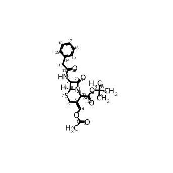 CC(=O)OC=C1CS[C@H]2C(NC(=O)Cc3ccccc3)C(=O)N2C1C(=O)OC(C)(C)C